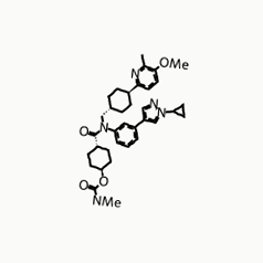 CNC(=O)O[C@H]1CC[C@H](C(=O)N(C[C@H]2CC[C@H](c3ccc(OC)c(C)n3)CC2)c2cccc(-c3cnn(C4CC4)c3)c2)CC1